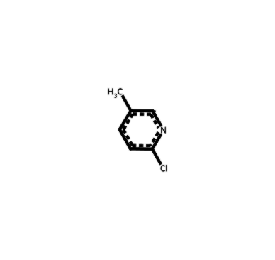 Cc1[c]nc(Cl)cc1